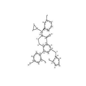 Cc1ccnc([C@H](C2CC2)N2CCc3c(cc(Cn4ccnc4C)cc3-c3ccc(F)cc3C)C2=O)c1